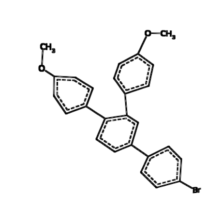 COc1ccc(-c2ccc(-c3ccc(Br)cc3)cc2-c2ccc(OC)cc2)cc1